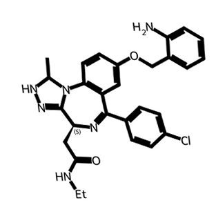 CCNC(=O)C[C@@H]1N=C(c2ccc(Cl)cc2)c2cc(OCc3ccccc3N)ccc2N2C1=NNC2C